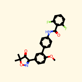 COc1ccc(C2=NOC(C)(C)C2=O)cc1-c1ccc(NC(=O)c2c(F)cccc2F)cc1